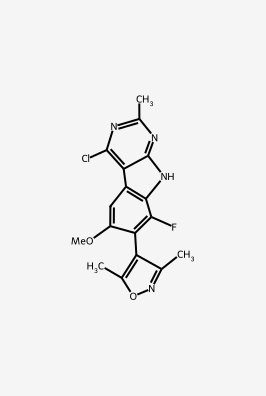 COc1cc2c([nH]c3nc(C)nc(Cl)c32)c(F)c1-c1c(C)noc1C